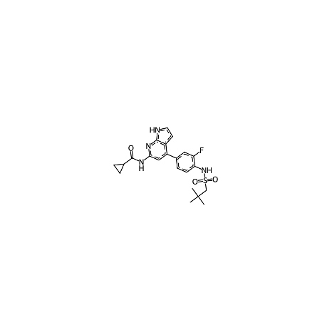 CC(C)(C)CS(=O)(=O)Nc1ccc(-c2cc(NC(=O)C3CC3)nc3[nH]ccc23)cc1F